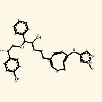 C[C@H](CNC(c1ccccc1)C(O)CCCC1=C/CC/C=C(Oc2cnn(C)c2)/C=C\1)c1ccc(C#N)cc1